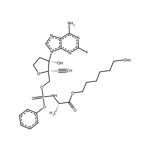 C#C[C@]1(COP(=O)(N[C@@H](C)C(=O)OCCCCCCCCCCCCCCCC)Oc2ccccc2)OCC[C@@]1(O)n1cnc2c(N)nc(F)nc21